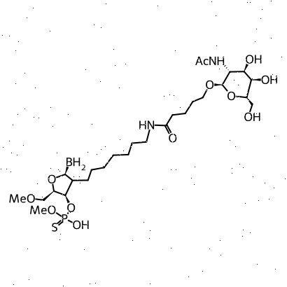 B[C@@H]1O[C@H](COC)[C@H](OP(O)(=S)OC)C1CCCCCCCNC(=O)CCCCO[C@@H]1O[C@H](CO)[C@H](O)[C@H](O)[C@H]1NC(C)=O